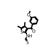 COc1cccc(C(=O)c2c(NC=S)sc(C)c2C)c1